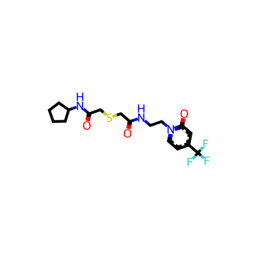 O=C(CSCC(=O)NC1CCCC1)NCCn1ccc(C(F)(F)F)cc1=O